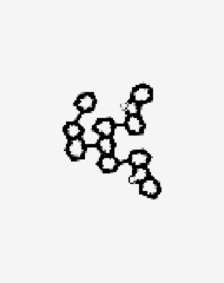 c1ccc(-c2ccc3cccc(-c4c5cccc(-c6cccc7c6oc6ccccc67)c5cc5c(-c6cccc7c6oc6ccccc67)cccc45)c3c2)cc1